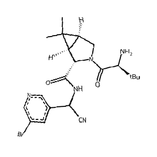 CC(C)(C)[C@H](N)C(=O)N1C[C@H]2[C@@H]([C@H]1C(=O)NC(C#N)c1cncc(Br)c1)C2(C)C